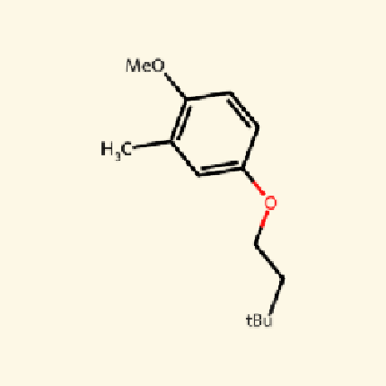 COc1ccc(OCCC(C)(C)C)cc1C